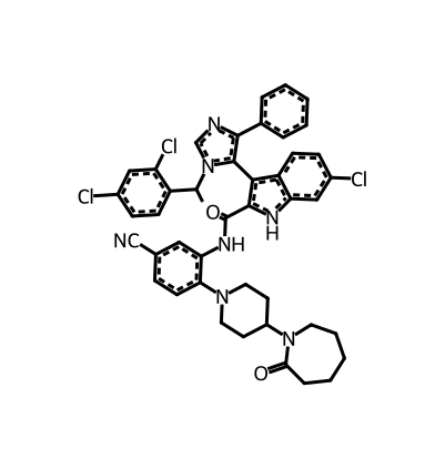 CC(c1ccc(Cl)cc1Cl)n1cnc(-c2ccccc2)c1-c1c(C(=O)Nc2cc(C#N)ccc2N2CCC(N3CCCCCC3=O)CC2)[nH]c2cc(Cl)ccc12